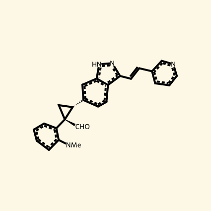 CNc1ccccc1[C@]1(C=O)C[C@@H]1c1ccc2c(/C=C/c3cccnc3)n[nH]c2c1